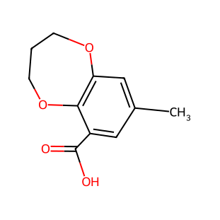 Cc1cc2c(c(C(=O)O)c1)OCCCO2